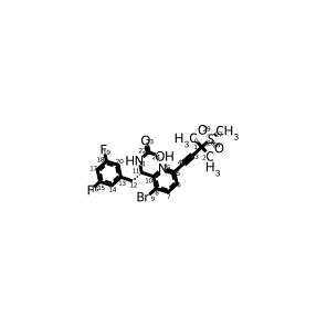 CC(C)(C#Cc1ccc(Br)c([C@H](Cc2cc(F)cc(F)c2)NC(=O)O)n1)S(C)(=O)=O